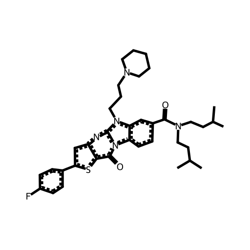 CC(C)CCN(CCC(C)C)C(=O)c1ccc2c(c1)n(CCCN1CCCCC1)c1nc3cc(-c4ccc(F)cc4)sc3c(=O)n21